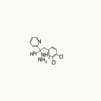 CCCC(N)(Cc1ccc(Cl)c(Cl)c1)c1ccccn1.N